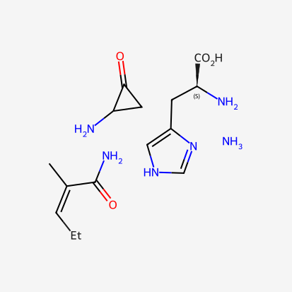 CCC=C(C)C(N)=O.N.NC1CC1=O.N[C@@H](Cc1c[nH]cn1)C(=O)O